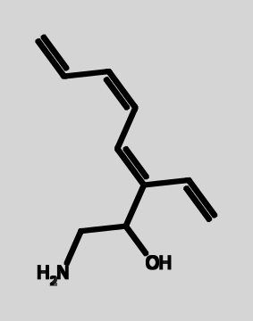 C=C/C=C\C=C(/C=C)C(O)CN